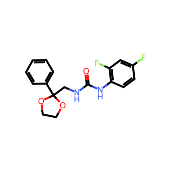 O=C(NCC1(c2ccccc2)OCCO1)Nc1ccc(F)cc1F